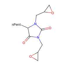 CCCCCC1C(=O)N(CC2CO2)C(=O)N1CC1CO1